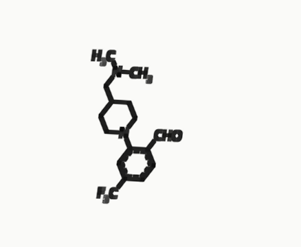 CN(C)CC1CCN(c2cc(C(F)(F)F)ccc2C=O)CC1